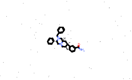 C[C@H]1CN2C[C@H](c3ccccc3)N(Cc3ccccc3)C[C@H]2C[C@@]1(C)c1cccc(C(N)=O)c1